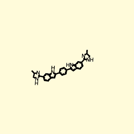 CC1CNC(c2ccc3cc(-c4ccc(-c5cc6ccc(C7=NC(C)CN7)cc6[nH]5)cc4)[nH]c3c2)=N1